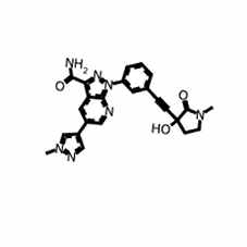 CN1CCC(O)(C#Cc2cccc(-n3nc(C(N)=O)c4cc(-c5cnn(C)c5)cnc43)c2)C1=O